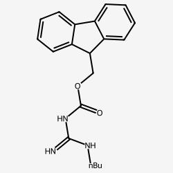 CCCCNC(=N)NC(=O)OCC1c2ccccc2-c2ccccc21